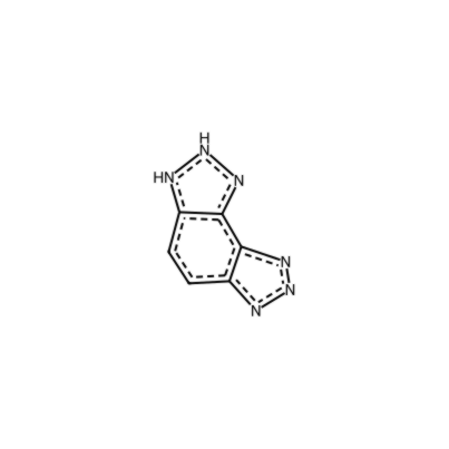 c1cc2[nH][nH]nc2c2nnnc12